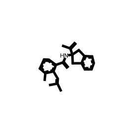 C=C(NC1(C(=C)C)Cc2ccccc2C1)c1cccc(C)c1C=C(C)C